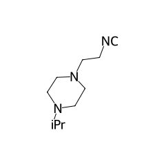 [C-]#[N+]CCN1CCN(C(C)C)CC1